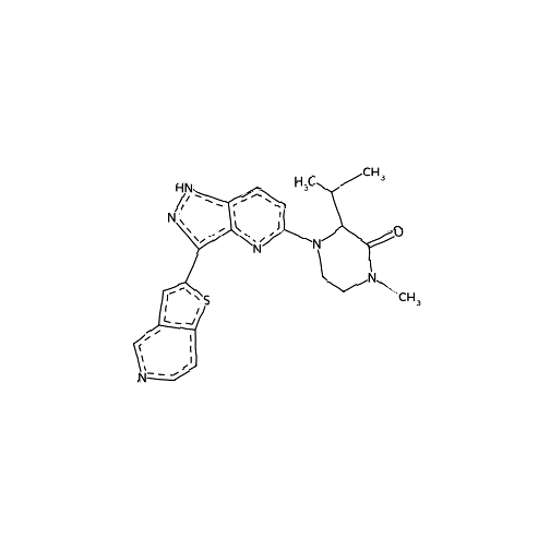 CC(C)C1C(=O)N(C)CCN1c1ccc2[nH]nc(-c3cc4cnccc4s3)c2n1